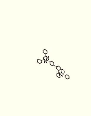 c1ccc(COc2ccc(-c3ccc(-c4nc(-c5ccccc5)cc(-c5ccccc5)n4)cc3)cc2-c2ccccn2)cc1